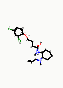 C=CCN(C)C1CCCCC1N(C)C(=O)CCCOc1ccc(Cl)cc1Cl